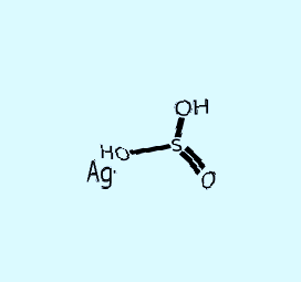 O=S(O)O.[Ag]